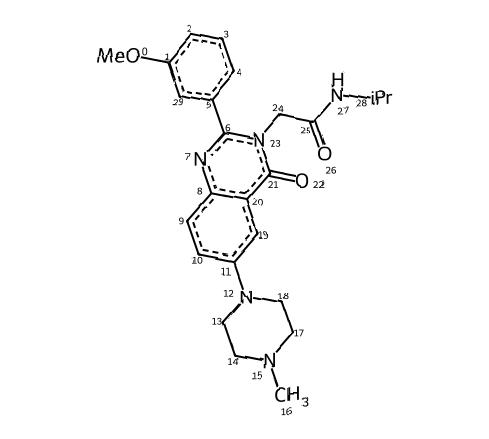 COc1cccc(-c2nc3ccc(N4CCN(C)CC4)cc3c(=O)n2CC(=O)NC(C)C)c1